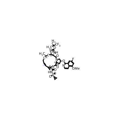 COc1cc(F)cc2c(O[C@@H]3C[C@H]4C(=O)N[C@]5(C(=O)NS(=O)(=O)C6CC6)CC5/C=C\CC[C@@H](C)C[C@@H](C)[C@H](NC(=O)OC(C)(C)C(F)(F)F)C(=O)N4C3)nccc12